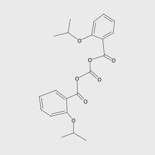 CC(C)Oc1ccccc1C(=O)OC(=O)OC(=O)c1ccccc1OC(C)C